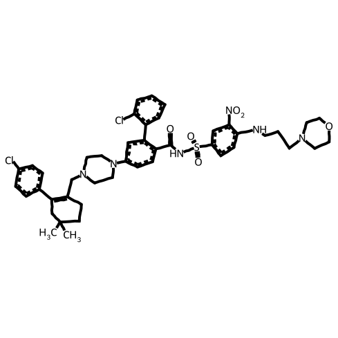 CC1(C)CCC(CN2CCN(c3ccc(C(=O)NS(=O)(=O)c4ccc(NCCCN5CCOCC5)c([N+](=O)[O-])c4)c(-c4ccccc4Cl)c3)CC2)=C(c2ccc(Cl)cc2)C1